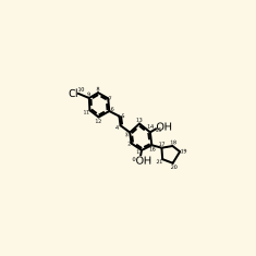 Oc1cc(C=Cc2ccc(Cl)cc2)cc(O)c1C1CCCC1